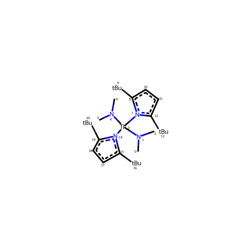 C[N](C)[Ti]([N](C)C)([n]1c(C(C)(C)C)ccc1C(C)(C)C)[n]1c(C(C)(C)C)ccc1C(C)(C)C